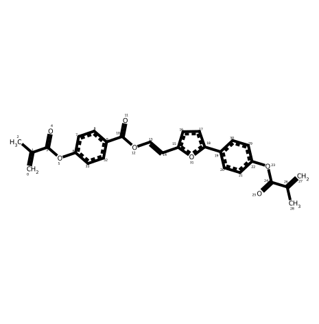 C=C(C)C(=O)Oc1ccc(C(=O)O/C=C/c2ccc(-c3ccc(OC(=O)C(=C)C)cc3)o2)cc1